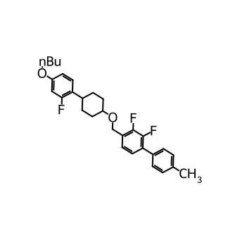 CCCCOc1ccc(C2CCC(OCc3ccc(-c4ccc(C)cc4)c(F)c3F)CC2)c(F)c1